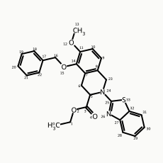 CCOC(=O)C1Cc2c(ccc(OC)c2OCc2ccccc2)CN1c1nc2ccccc2s1